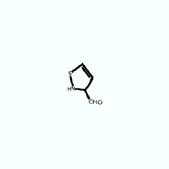 O=CC1C=CSN1